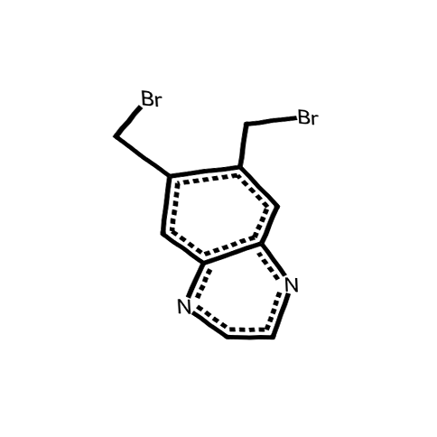 BrCc1cc2nccnc2cc1CBr